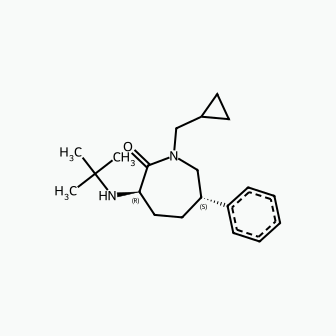 CC(C)(C)N[C@@H]1CC[C@@H](c2ccccc2)CN(CC2CC2)C1=O